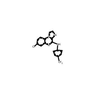 FC(F)(F)c1ccc(Nc2nc3cc(Cl)ccc3n3ccnc23)cc1